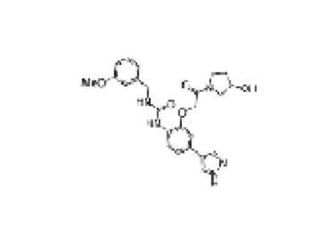 COc1cccc(CNC(=O)Nc2ccc(-c3cn[nH]c3)cc2OCC(=O)N2CCC(O)C2)c1